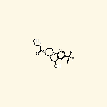 CCCC(=O)N1CCN2c3ncc(C(F)(F)F)cc3C(O)CC2C1